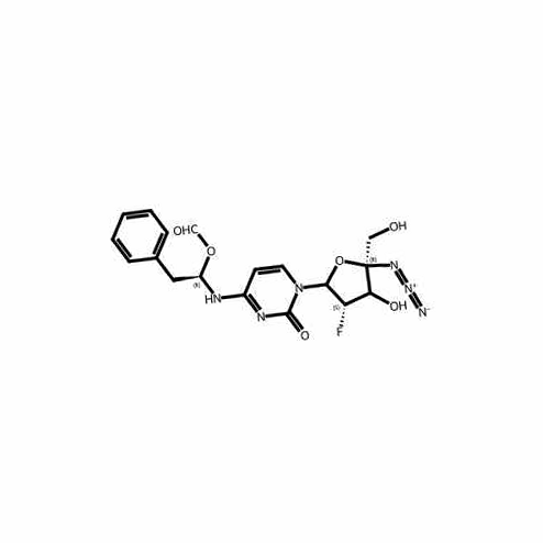 [N-]=[N+]=N[C@]1(CO)OC(n2ccc(N[C@@H](Cc3ccccc3)OC=O)nc2=O)[C@@H](F)C1O